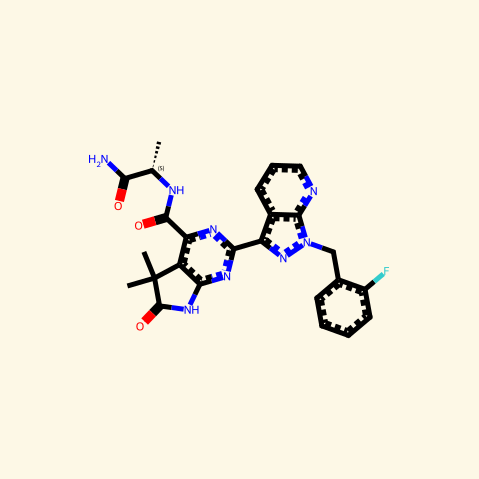 C[C@H](NC(=O)c1nc(-c2nn(Cc3ccccc3F)c3ncccc23)nc2c1C(C)(C)C(=O)N2)C(N)=O